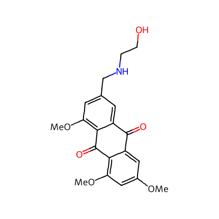 COc1cc(OC)c2c(c1)C(=O)c1cc(CNCCO)cc(OC)c1C2=O